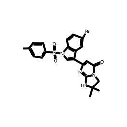 Cc1ccc(S(=O)(=O)n2cc(-c3cc(=O)n4c(n3)NC(C)(C)C4)c3cc(Br)ccc32)cc1